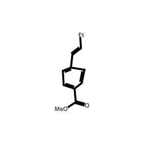 CC/C=C/c1ccc(C(=O)OC)cc1